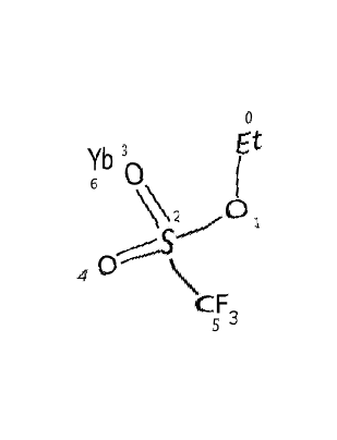 CCOS(=O)(=O)C(F)(F)F.[Yb]